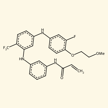 C=CC(=O)Nc1cccc(Nc2cc(Nc3ccc(OCCOC)c(F)c3)ccc2C(F)(F)F)c1